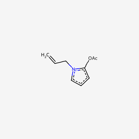 C=CCn1cccc1OC(C)=O